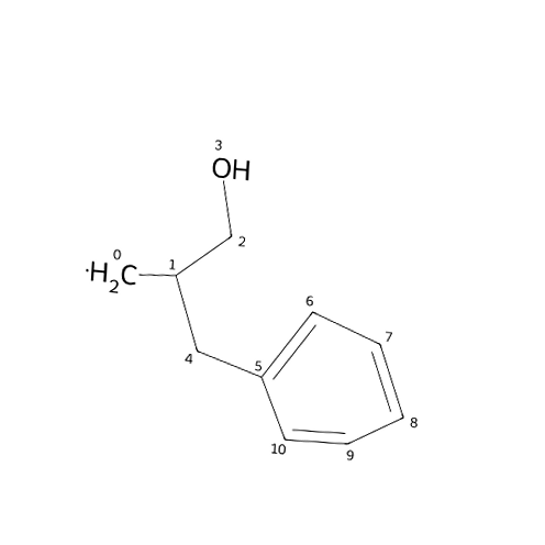 [CH2]C(CO)Cc1ccccc1